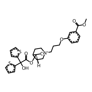 COC(=O)c1cccc(OCCC[N+]23CCC(CC2)[C@@H](OC(=O)C(O)(c2cccs2)c2cccs2)C3)c1